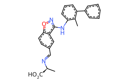 Cc1c(Nc2noc3ccc(C=N[C@@H](C)C(=O)O)cc23)cccc1-c1ccccc1